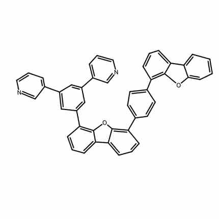 c1cncc(-c2cc(-c3cccnc3)cc(-c3cccc4c3oc3c(-c5ccc(-c6cccc7c6oc6ccccc67)cc5)cccc34)c2)c1